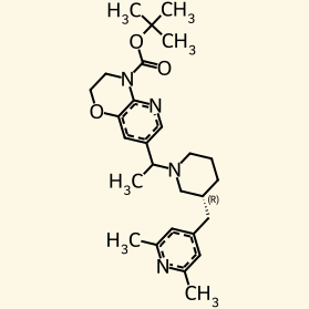 Cc1cc(C[C@H]2CCCN(C(C)c3cnc4c(c3)OCCN4C(=O)OC(C)(C)C)C2)cc(C)n1